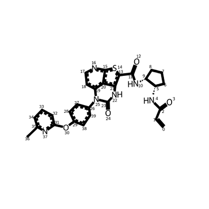 C=CC(=O)N[C@H]1CCC[C@H]1NC(=O)c1sc2nccc3c2c1NC(=O)N3c1ccc(Oc2cccc(C)n2)cc1